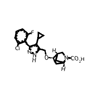 O=C(O)N1C[C@@H]2C[C@H]1C[C@H]2OCc1[nH]nc(-c2c(F)cccc2Cl)c1C1CC1